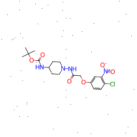 CC(C)(C)OC(=O)NC1CCN(NC(=O)COc2ccc(Cl)c([N+](=O)[O-])c2)CC1